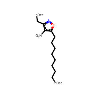 CCCCCCCCCCCCCCCCCCc1onc(CCCCCCCCCCC)c1[N+](=O)[O-]